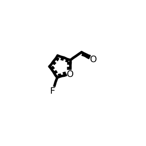 O=Cc1ccc(F)o1